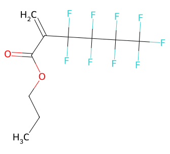 C=C(C(=O)OCCC)C(F)(F)C(F)(F)C(F)(F)C(F)(F)F